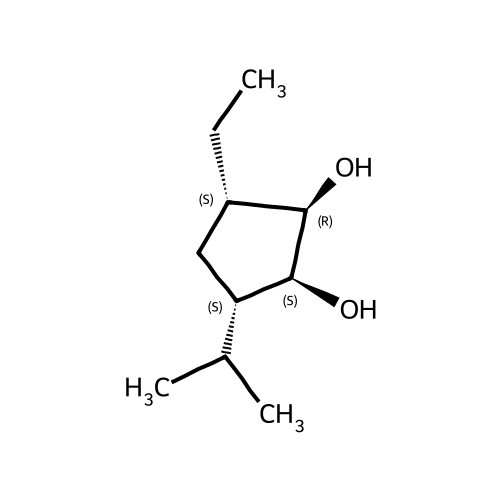 CC[C@H]1C[C@@H](C(C)C)[C@H](O)[C@@H]1O